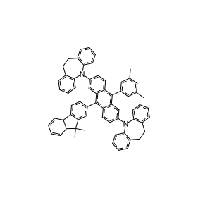 Cc1cc(C)cc(-c2c3ccc(N4c5ccccc5CCc5ccccc54)cc3c(-c3ccc4c(c3)C(C)(C)C3C=CC=CC43)c3ccc(N4c5ccccc5CCc5ccccc54)cc23)c1